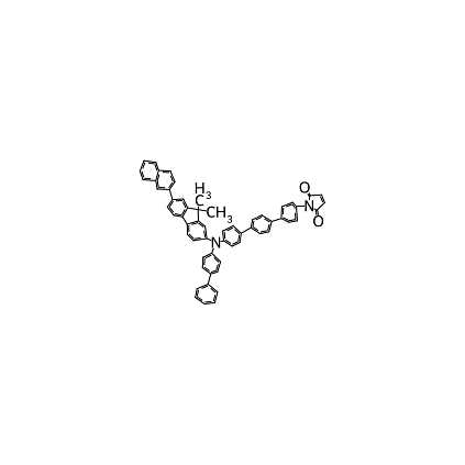 CC1(C)c2cc(-c3ccc4ccccc4c3)ccc2-c2ccc(N(c3ccc(-c4ccccc4)cc3)c3ccc(-c4ccc(-c5ccc(N6C(=O)C=CC6=O)cc5)cc4)cc3)cc21